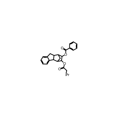 CC(C)CC(=O)OC1C2CC(C3Cc4ccccc4C32)C1OC(=O)c1ccccc1